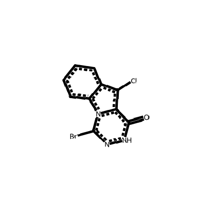 O=c1[nH]nc(Br)n2c1c(Cl)c1ccccc12